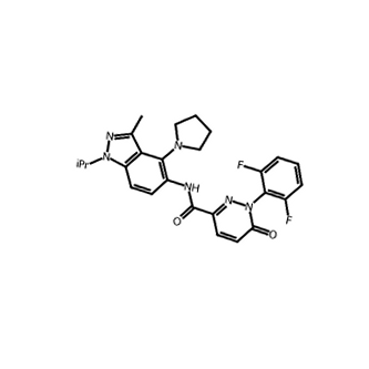 Cc1nn(C(C)C)c2ccc(NC(=O)c3ccc(=O)n(-c4c(F)cccc4F)n3)c(N3CCCC3)c12